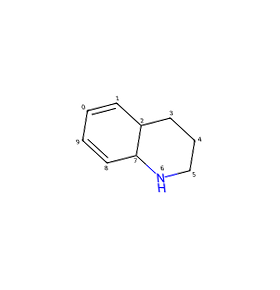 C1=CC2CCCNC2C=C1